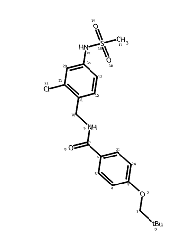 CC(C)(C)COc1ccc(C(=O)NCc2ccc(NS(C)(=O)=O)cc2Cl)cc1